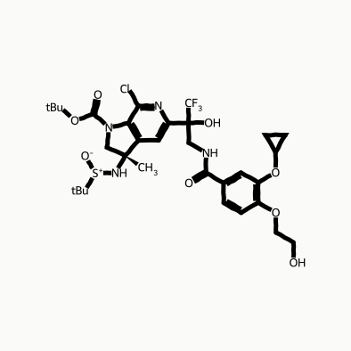 CC(C)(C)OC(=O)N1C[C@@](C)(N[S+]([O-])C(C)(C)C)c2cc(C(O)(CNC(=O)c3ccc(OCCO)c(OC4CC4)c3)C(F)(F)F)nc(Cl)c21